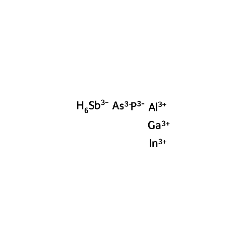 [Al+3].[As-3].[Ga+3].[In+3].[P-3].[SbH6-3]